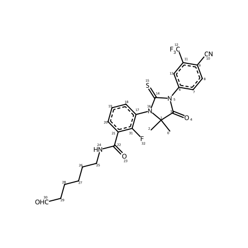 CC1(C)C(=O)N(c2ccc(C#N)c(C(F)(F)F)c2)C(=S)N1c1cccc(C(=O)NCCCCCC=O)c1F